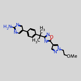 COCCn1cc(-c2nc(C(C)(C)c3ccc(-c4cnc(N)nc4)cc3)no2)cn1